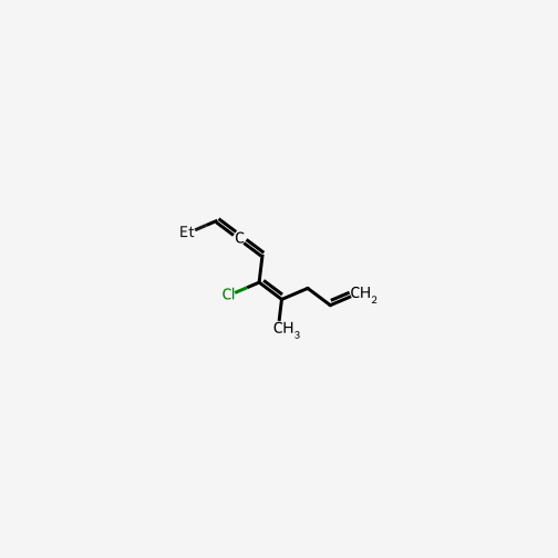 C=CC/C(C)=C(/Cl)C=C=CCC